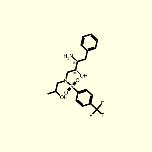 CC(O)CN(C[C@@H](O)[C@@H](N)Cc1ccccc1)S(=O)(=O)c1ccc(C(F)(F)F)cc1